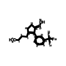 CCCCC1=C(c2cccc(C(F)(F)F)c2)C(=NO)CC1